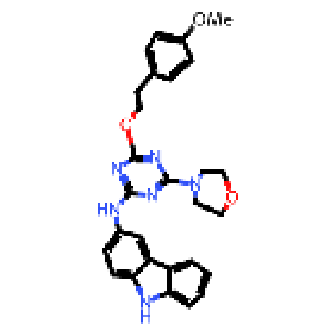 COc1ccc(CCOc2nc(Nc3ccc4[nH]c5ccccc5c4c3)nc(N3CCOCC3)n2)cc1